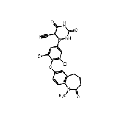 CN1C(=O)CCCc2cc(Oc3c(Cl)cc(N4NC(=O)NC(=O)C4C#N)cc3Cl)ccc21